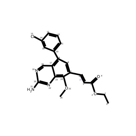 CCOC(=O)/C=C/c1cc(-c2cccc(Cl)c2)c2cnc(N)nc2c1OC